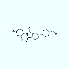 O=C1CCC(N2C(=O)c3ccc(N4CCC(CBr)CC4)cc3C2=O)C(=O)N1